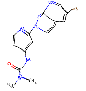 CN(C)C(=O)Nc1ccnc(-n2cc3cc(Br)cnc3n2)c1